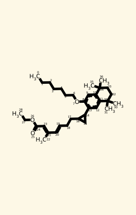 CCCCCCCOc1cc2c(cc1C1CC1CCC=CC(C)=CC(=O)OCC)C(C)(C)CCC2(C)C